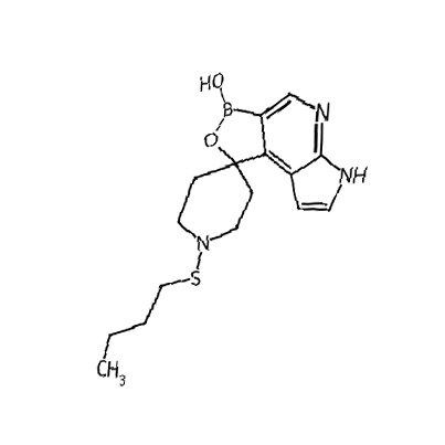 CCCCSN1CCC2(CC1)OB(O)c1cnc3[nH]ccc3c12